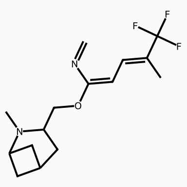 C=N/C(=C\C=C(/C)C(F)(F)F)OCC1CC2CC(C2)N1C